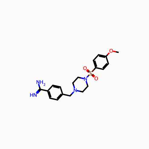 COc1ccc(S(=O)(=O)N2CCN(Cc3ccc(C(=N)N)cc3)CC2)cc1